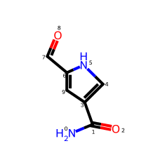 NC(=O)c1c[nH]c(C=O)c1